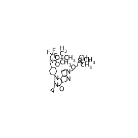 CC(C)(C)OC(=O)N(CC(F)(F)F)C[C@H]1CC[C@H](N2CN(C3CC3)C(=O)c3cnc4c(ccn4COCC[Si](C)(C)C)c32)CC1